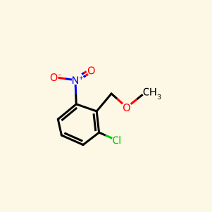 COCc1c(Cl)cccc1[N+](=O)[O-]